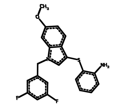 COc1ccc2c(Sc3ccccc3N)cn(Cc3cc(F)cc(F)c3)c2c1